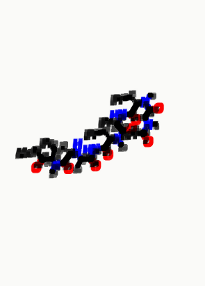 CCCC(=O)N(C)CC(=O)N(C)[C@@H](CC(C)C)C(=O)N[C@H](C(=O)N(C)[C@@H](CC(C)C)C(=O)NC(=O)[C@@H](C)N[C@@H](C)C(=O)N(C)[C@H](CC(C)C)C(=O)NC)C(C)C